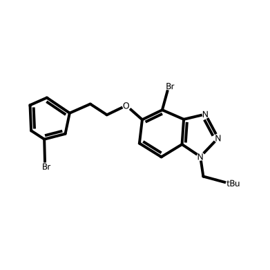 CC(C)(C)Cn1nnc2c(Br)c(OCCc3cccc(Br)c3)ccc21